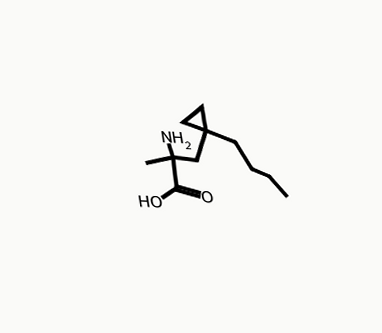 CCCCC1(CC(C)(N)C(=O)O)CC1